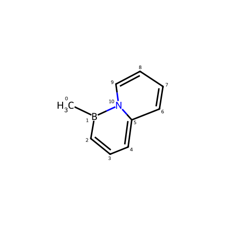 CB1C=CC=C2C=CC=CN12